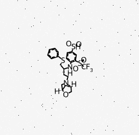 O=[SH](=O)c1ccc(NC(CCN2C[C@H]3C[C@@H]2CO3)CSc2ccccc2)c(S(=O)(=O)C(F)(F)F)c1